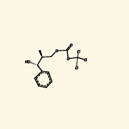 C[C@@H](COC(=O)OC(Cl)(Cl)Cl)[C@@H](O)c1ccccc1